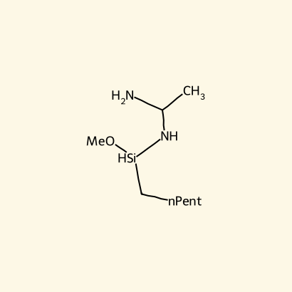 CCCCCC[SiH](NC(C)N)OC